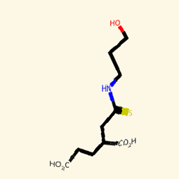 O=C(O)CCC(CC(=S)NCCCO)C(=O)O